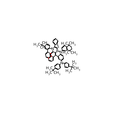 CC(C)(C)c1ccc(N(c2ccc(C(C)(C)C)cc2)c2ccc3c(c2)-c2c4c(cc5ccccc25)N(c2ccc(C(C)(C)C)cc2-c2ccccc2)c2c(sc5ccccc25)B4N3c2ccc3c(c2)C(C)(C)CCC3(C)C)cc1